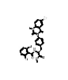 COC(=O)[C@H](Cc1ccc(-n2c(=O)c3cc(O)ccc3n(C)c2=O)cc1)NC(=O)c1c(Cl)cccc1Cl